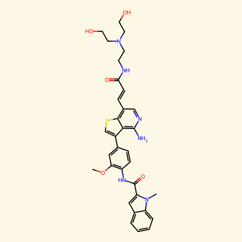 COc1cc(-c2csc3c(C=CC(=O)NCCN(CCO)CCO)cnc(N)c23)ccc1NC(=O)c1cc2ccccc2n1C